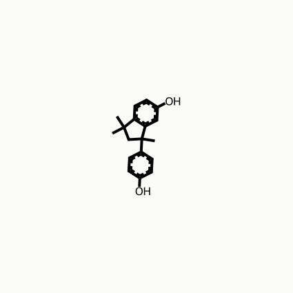 CC1(C)CC(C)(c2ccc(O)cc2)c2cc(O)ccc21